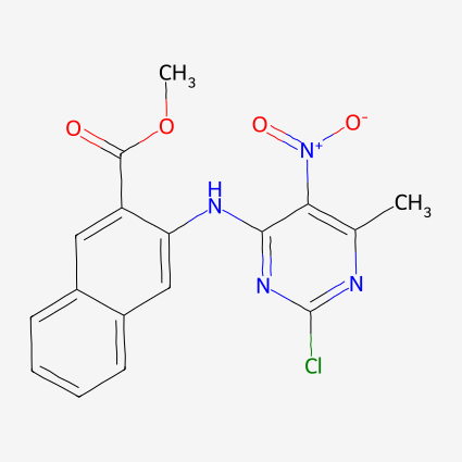 COC(=O)c1cc2ccccc2cc1Nc1nc(Cl)nc(C)c1[N+](=O)[O-]